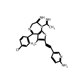 CC(=N)N1C(=N)CN=C(c2ccc(Cl)cc2)c2c1sc(C#Cc1ccc(N)nc1)c2C